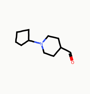 O=CC1CCN(C2CCCC2)CC1